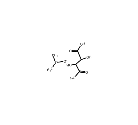 C[S+](C)[O-].O=C(O)C(O)C(O)C(=O)O